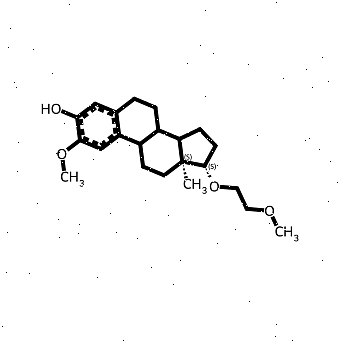 COCCO[C@H]1CCC2C3CCc4cc(O)c(OC)cc4C3CC[C@@]21C